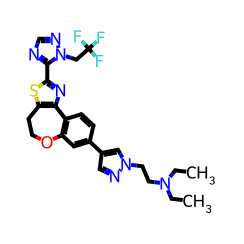 CCN(CC)CCn1cc(-c2ccc3c(c2)OCCc2sc(-c4ncnn4CC(F)(F)F)nc2-3)cn1